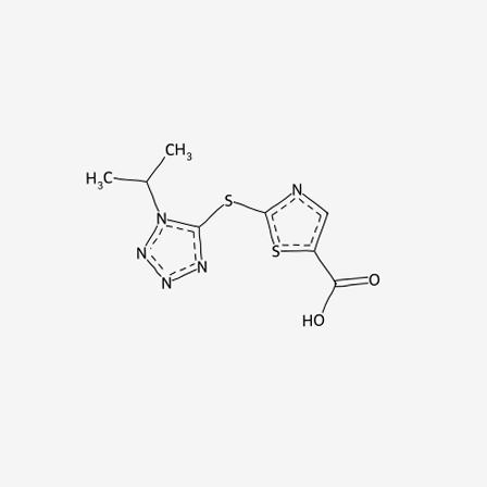 CC(C)n1nnnc1Sc1ncc(C(=O)O)s1